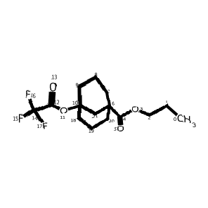 CCCOC(=O)C12CCCC(OC(=O)C(F)(F)F)(CCC1)C2